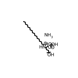 CCCCCCCCCCCCCCCCCC(=O)NC(CCC(C)(C)O)COP(=O)(O)O.N